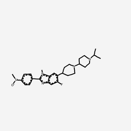 CC(C)N1CCC(N2CCC(c3cc4c(cc3F)nc(-c3ccc([S+](C)[O-])cc3)n4C)CC2)CC1